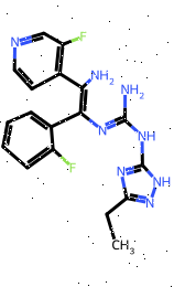 CCc1n[nH]c(N/C(N)=N/C(=C(\N)c2ccncc2F)c2ccccc2F)n1